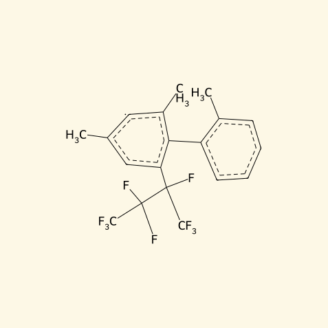 Cc1[c]c(C)c(-c2ccccc2C)c(C(F)(C(F)(F)F)C(F)(F)C(F)(F)F)c1